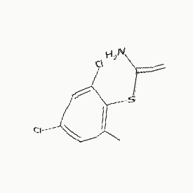 C=C(N)Sc1c(C)cc(Cl)cc1Cl